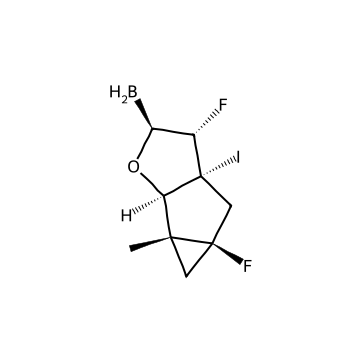 B[C@@H]1O[C@H]2[C@](I)(C[C@]3(F)C[C@]23C)[C@H]1F